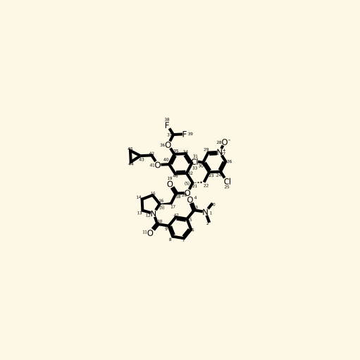 CN(C)C(=O)c1cccc(C(=O)N2CCC[C@H]2CC(=O)O[C@@H](Cc2c(Cl)c[n+]([O-])cc2Cl)c2ccc(OC(F)F)c(OCC3CC3)c2)c1